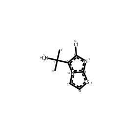 CC(C)(N)c1c(Cl)nc2sccn12